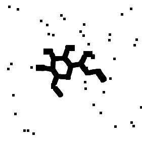 C=CCC(N)C1OC(SC)C(O)C(O)C1O